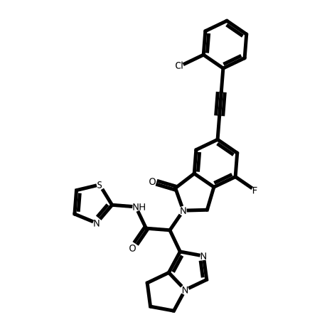 O=C(Nc1nccs1)C(c1ncn2c1CCC2)N1Cc2c(F)cc(C#Cc3ccccc3Cl)cc2C1=O